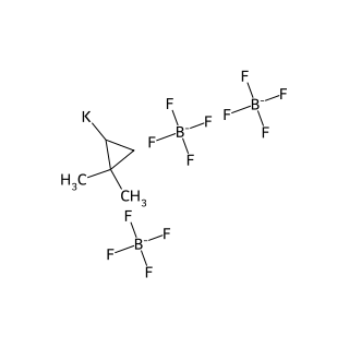 CC1(C)C[CH]1[K].F[B-](F)(F)F.F[B-](F)(F)F.F[B-](F)(F)F